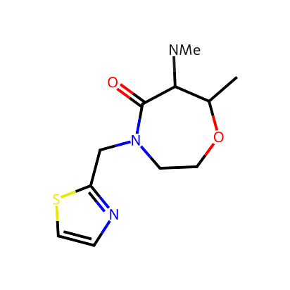 CNC1C(=O)N(Cc2nccs2)CCOC1C